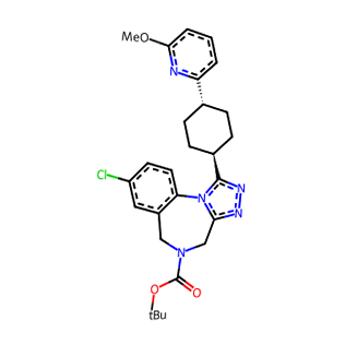 COc1cccc([C@H]2CC[C@H](c3nnc4n3-c3ccc(Cl)cc3CN(C(=O)OC(C)(C)C)C4)CC2)n1